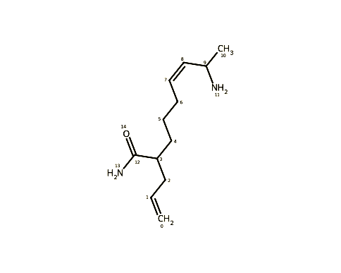 C=CCC(CCC/C=C\C(C)N)C(N)=O